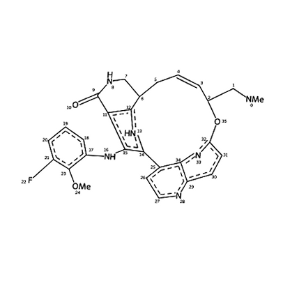 CNCC1/C=C\CC2CNC(=O)c3c2[nH]c(c3Nc2cccc(F)c2OC)-c2ccnc3ccc(nc23)O1